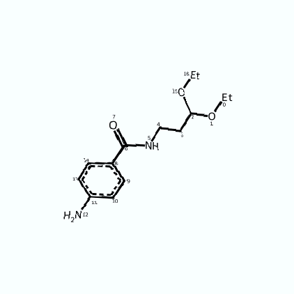 CCOC(CCNC(=O)c1ccc(N)cc1)OCC